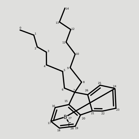 CCCCCCCC1(CCCCCCC)c2cc3ccc2-c2ccc(cc21)B3F